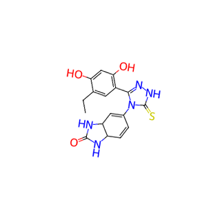 CCc1cc(-c2n[nH]c(=S)n2C2=CC3NC(=O)NC3C=C2)c(O)cc1O